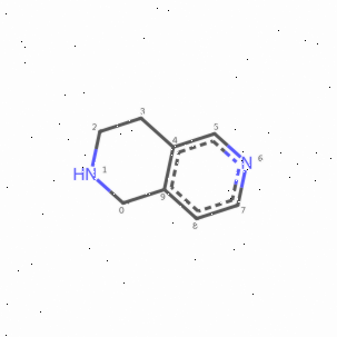 [CH]1NCCc2cnccc21